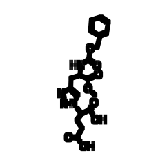 COC(=O)C(Cc1cn(C(CCC(=O)O)C(=O)O)nn1)NC(=O)OCc1ccccc1